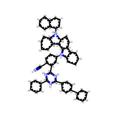 N#Cc1ccc(-n2c3ccccc3c3ccc4c(c5ccccc5n4-c4cccc5ccccc45)c32)cc1-c1nc(-c2ccccc2)nc(-c2ccc(-c3ccccc3)cc2)n1